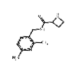 Cc1nc(N)ccc1CNC(=O)[C@@H]1CCN1